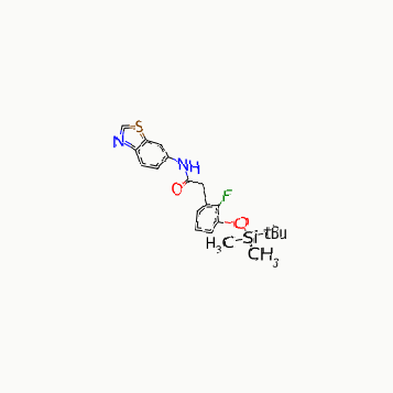 CC(C)(C)[Si](C)(C)Oc1cccc(CC(=O)Nc2ccc3ncsc3c2)c1F